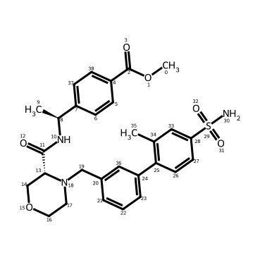 COC(=O)c1ccc([C@H](C)NC(=O)[C@H]2COCCN2Cc2cccc(-c3ccc(S(N)(=O)=O)cc3C)c2)cc1